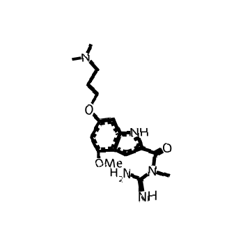 COc1cc(OCCCN(C)C)cc2[nH]c(C(=O)N(C)C(=N)N)cc12